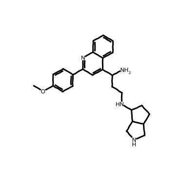 COc1ccc(-c2cc(C(N)CCNC3CCC4CNCC43)c3ccccc3n2)cc1